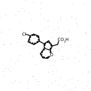 O=C(O)Cc1cc(-c2ccc(Cl)cc2)c2cccoc1-2